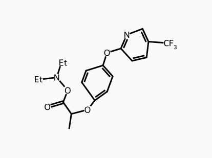 CCN(CC)OC(=O)C(C)Oc1ccc(Oc2ccc(C(F)(F)F)cn2)cc1